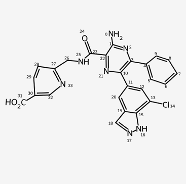 Nc1nc(-c2ccccc2)c(-c2cc(Cl)c3[nH]ncc3c2)nc1C(=O)NCc1ccc(C(=O)O)cn1